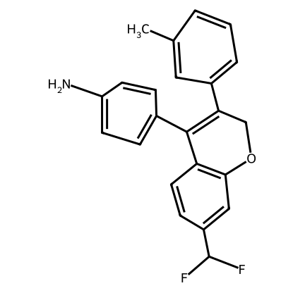 Cc1cccc(C2=C(c3ccc(N)cc3)c3ccc(C(F)F)cc3OC2)c1